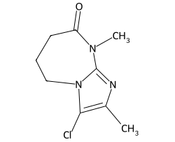 Cc1nc2n(c1Cl)CCCC(=O)N2C